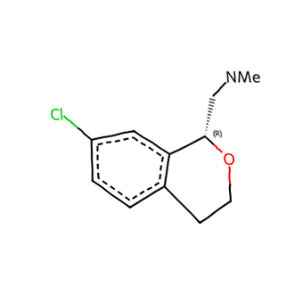 CNC[C@@H]1OCCc2ccc(Cl)cc21